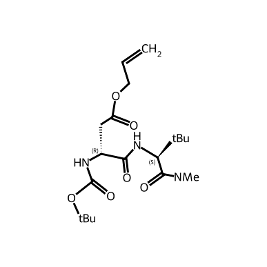 C=CCOC(=O)C[C@@H](NC(=O)OC(C)(C)C)C(=O)N[C@H](C(=O)NC)C(C)(C)C